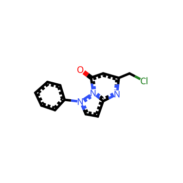 O=c1cc(CCl)nc2ccn(-c3ccccc3)n12